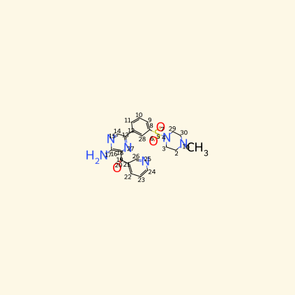 CN1CCN(S(=O)(=O)c2cccc(-c3cnc(N)c(C(=O)c4cccnc4)n3)c2)CC1